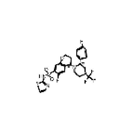 O=S(=O)(Nc1nccs1)c1cc2c(cc1F)[C@@H](N1CCC(C(F)(F)F)C[C@@H]1c1ccc(F)cc1)CCO2